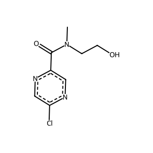 CN(CCO)C(=O)c1cnc(Cl)cn1